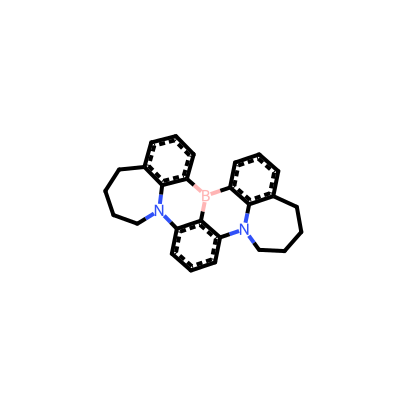 c1cc2c3c(c1)B1c4cccc5c4N(CCCC5)c4cccc(c41)N3CCCC2